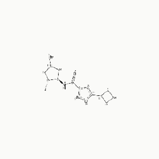 CC(C)N1C[C@@H](C)[C@H](NC(=O)c2cc(C3CCC3)on2)C1